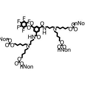 CCCCCCCCCOC(=O)OCCCCCN(CCCCCOC(=O)OCCCCCCCCC)CCCNC(=O)c1cc(C(=O)NCCCN(CCCCCOC(=O)OCCCCCCCCC)CCCCCOC(=O)OCCCCCCCCC)cc(C(=O)Oc2c(F)c(F)c(F)c(F)c2F)c1